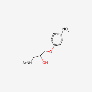 CC(=O)NCC(O)COc1ccc([N+](=O)[O-])cc1